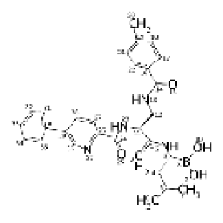 C=C(N[C@@H](CC(C)C)B(O)O)[C@H](CNC(=O)c1ccc(C)cc1)NC(=O)c1ccc(-c2ccccc2)cn1